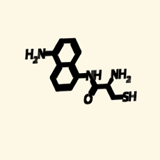 Nc1cccc2c(NC(=O)[C@@H](N)CS)cccc12